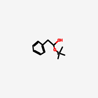 C[Si](C)(C)OC(O)Cc1ccccc1